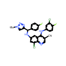 CC(C)(C)n1cc(C(Nc2cc(Cl)c3ncc(C#N)c(Nc4ccc(F)c(Cl)c4)c3c2)c2ccc(F)cc2)nn1